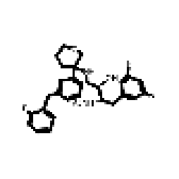 CC(=O)N[C@@H](Cc1cc(F)cc(F)c1)[C@H](O)CNC1(c2cccc(Cc3ccccc3F)c2)CCCCC1